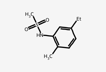 CCc1ccc(C)c(NS(C)(=O)=O)c1